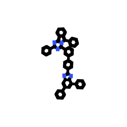 C1=C(c2ccccc2)C=C(c2ccccc2)C2=NC(c3ccc(-c4cccc(-c5nc(-c6ccccc6)nc6c7ccccc7c(-c7ccccc7)n56)c4)cc3)=NC12